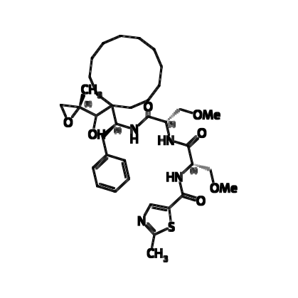 COC[C@H](NC(=O)c1cnc(C)s1)C(=O)N[C@@H](COC)C(=O)N[C@@H](Cc1ccccc1)C1(C(O)[C@@]2(C)CO2)CCCCCCCCCCC1